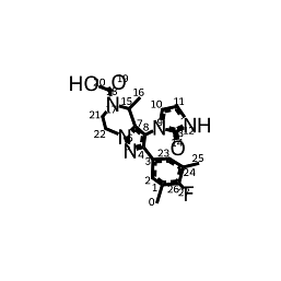 Cc1cc(-c2nn3c(c2-n2cc[nH]c2=O)C(C)N(C(=O)O)CC3)cc(C)c1F